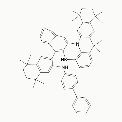 CC1(C)CCC(C)(C)c2cc(-c3c4c(cc5ccccc35)N3c5cc6c(cc5C(C)(C)c5cccc(c53)B4)C(C)(C)CCC6(C)C)c(Nc3ccc(-c4ccccc4)cc3)cc21